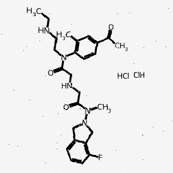 CCNCCN(C(=O)CNCC(=O)N(C)N1Cc2cccc(F)c2C1)c1ccc(C(C)=O)cc1C.Cl.Cl